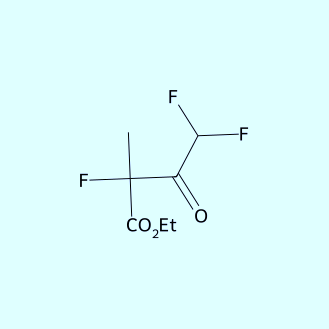 CCOC(=O)C(C)(F)C(=O)C(F)F